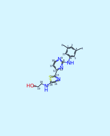 Cc1cc(C)cc(Nc2nccc(-c3ncc(NCCO)s3)n2)c1